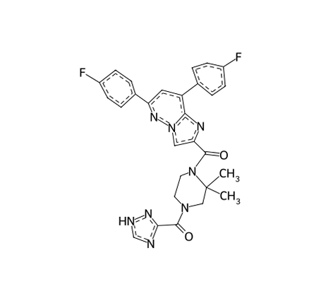 CC1(C)CN(C(=O)c2nc[nH]n2)CCN1C(=O)c1cn2nc(-c3ccc(F)cc3)cc(-c3ccc(F)cc3)c2n1